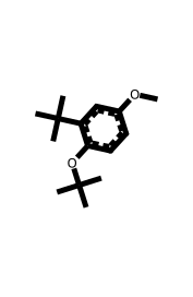 COc1ccc(OC(C)(C)C)c(C(C)(C)C)c1